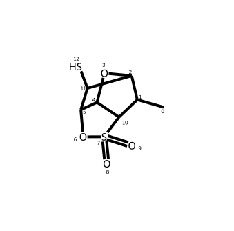 CC1C2OC3C(OS(=O)(=O)C13)C2S